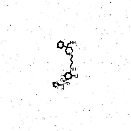 NCC1(c2ccccc2)CCN(CCCCNc2cc(F)c(S(=O)(=O)Nc3nccs3)cc2Cl)CC1